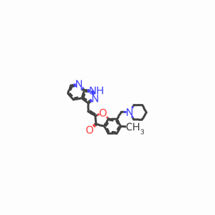 Cc1ccc2c(c1CN1CCCCC1)O/C(=C\c1n[nH]c3ncccc13)C2=O